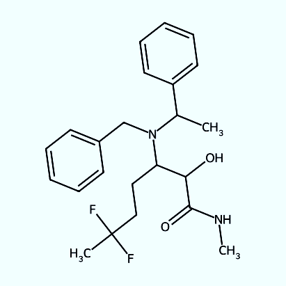 CNC(=O)C(O)C(CCC(C)(F)F)N(Cc1ccccc1)C(C)c1ccccc1